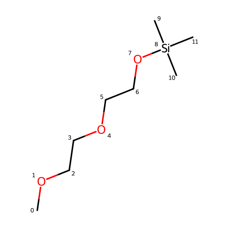 COCCOCCO[Si](C)(C)C